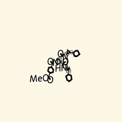 COC(=O)c1ccc(C(=O)N2C[C@H](C(=O)N[C@@H]3C[C@H]3c3ccccc3)[C@@H](C(=O)N[C@@H]3C[C@H]3c3ccccc3)C2)cc1